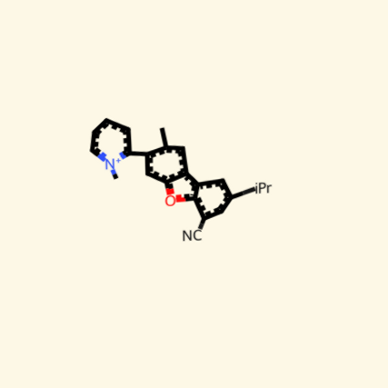 Cc1cc2c(cc1-c1cccc[n+]1C)oc1c(C#N)cc(C(C)C)cc12